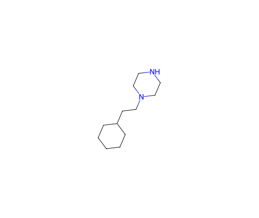 C1CCC(CCN2CCNCC2)CC1